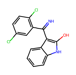 N=C(c1cc(Cl)ccc1Cl)c1c(O)[nH]c2ccccc12